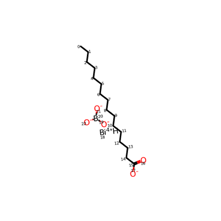 CCCCCCCCCCCCCCCC(=O)[O-].[BiH+4].[O-]B([O-])[O-]